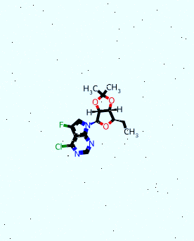 CC[C@H]1O[C@@H](n2cc(F)c3c(Cl)ncnc32)[C@@H]2OC(C)(C)O[C@@H]21